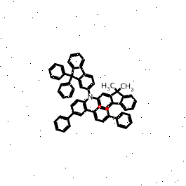 CC1(C)c2ccccc2-c2ccc(N(c3ccc4c(c3)C(c3ccccc3)(c3ccccc3)c3ccccc3-4)c3ccc(-c4ccccc4)cc3-c3ccc(-c4ccccc4)cc3)cc21